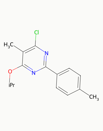 Cc1ccc(-c2nc(Cl)c(C)c(OC(C)C)n2)cc1